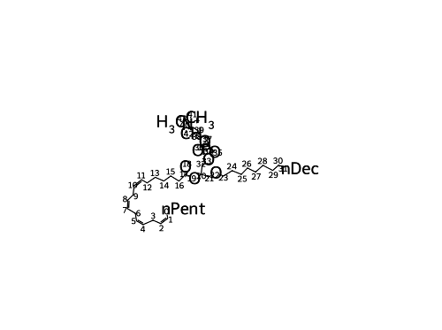 CCCCC/C=C\C/C=C\C/C=C\C/C=C\CCCCCC(=O)O[C@H](COCCCCCCCCCCCCCCCCCC)COP(=O)([O-])OCC[N+](C)(C)C